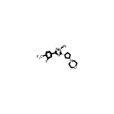 CC(C)n1nc(-c2ccc(C(F)(F)F)c(F)c2)nc1[C@@H]1CC[C@H](N2CCOCC2)C1